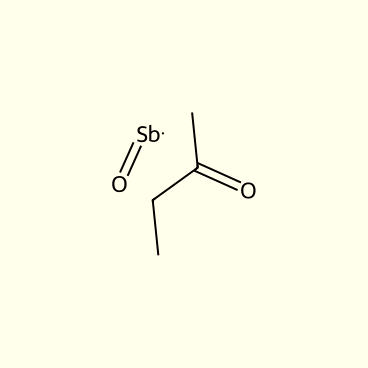 CCC(C)=O.[O]=[Sb]